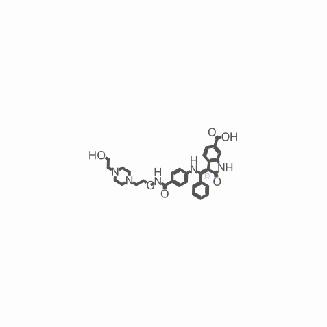 O=C1Nc2cc(C(=O)O)ccc2/C1=C(\Nc1ccc(C(=O)NOCCN2CCN(CCO)CC2)cc1)c1ccccc1